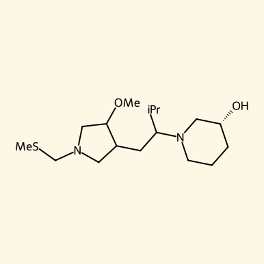 COC1CN(CSC)CC1CC(C(C)C)N1CCC[C@@H](O)C1